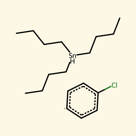 CCC[CH2][SnH]([CH2]CCC)[CH2]CCC.Clc1cc[c]cc1